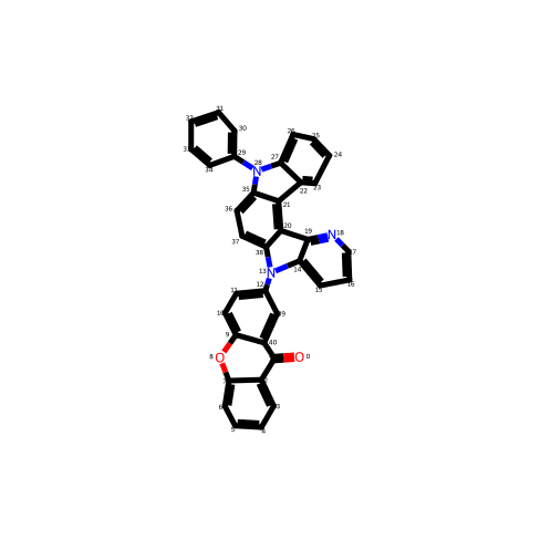 O=c1c2ccccc2oc2ccc(-n3c4cccnc4c4c5c6ccccc6n(-c6ccccc6)c5ccc43)cc12